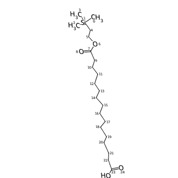 C[Si](C)(C)CCOC(=O)CCCCCCCCCCCCCCC(=O)O